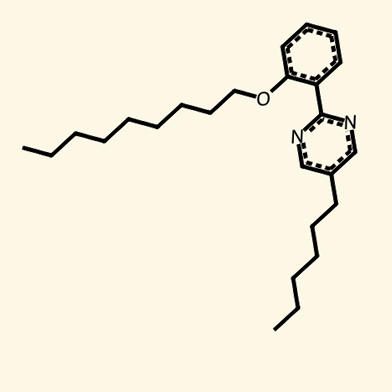 CCCCCCCCCOc1ccccc1-c1ncc(CCCCCC)cn1